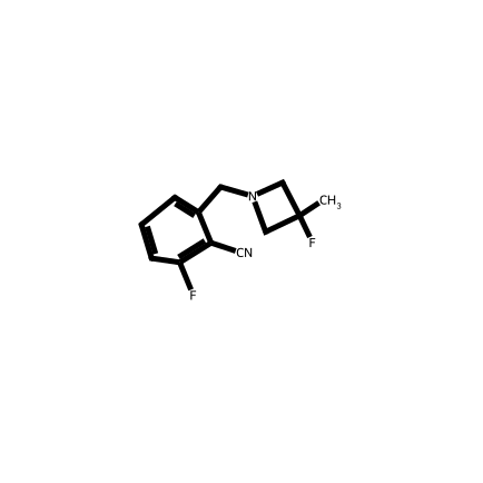 CC1(F)CN(Cc2cccc(F)c2C#N)C1